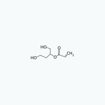 C=CC(=O)OC(CO)CCO